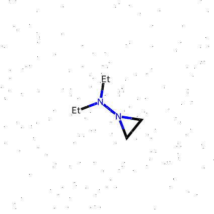 CCN(CC)N1CC1